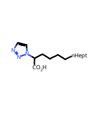 CCCCCCCCCCCC(C(=O)O)n1ccnn1